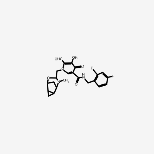 CN1C(Cn2cc(C(=O)NCc3ccc(F)cc3F)c(=O)c(O)c2C=O)OC2CC1C1CC21